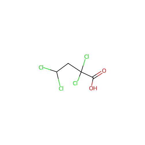 O=C(O)C(Cl)(Cl)CC(Cl)Cl